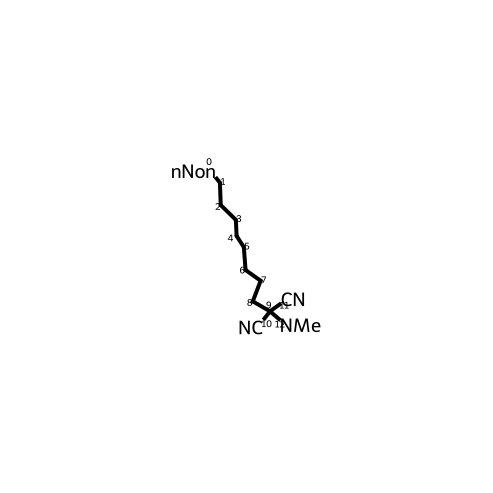 CCCCCCCCCCCCCCCCCC(C#N)(C#N)NC